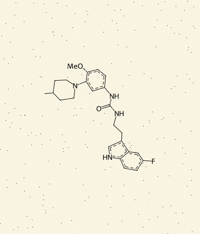 COc1ccc(NC(=O)NCCc2c[nH]c3ccc(F)cc23)cc1N1CCC(C)CC1